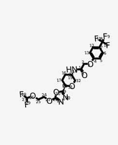 O=C(COc1ccc(C(F)(F)F)cc1)N[C@H]1CC[C@H](c2nnc(OCCOC(F)F)o2)OC1